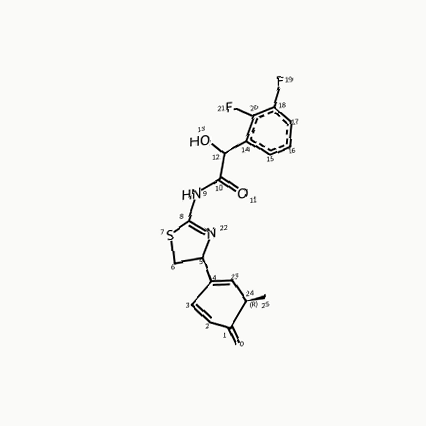 C=C1C=CC(C2CSC(NC(=O)C(O)c3cccc(F)c3F)=N2)=C[C@H]1C